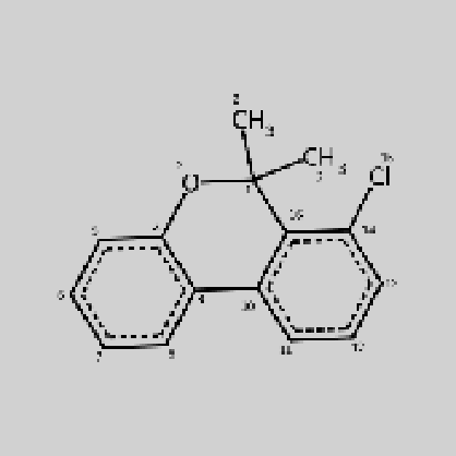 CC1(C)Oc2ccccc2-c2cccc(Cl)c21